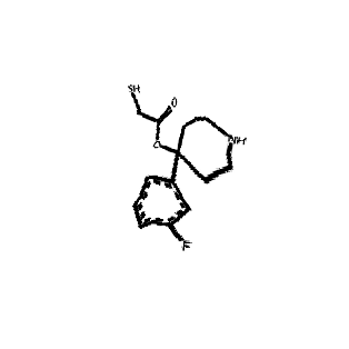 O=C(CS)OC1(c2cccc(F)c2)CCNCC1